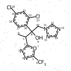 CC(c1nnc(C(F)(F)F)o1)C(O)(Cn1cncn1)c1ccc(Cl)cc1Cl